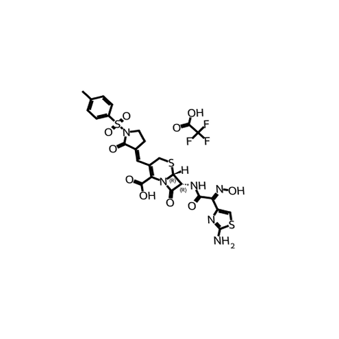 Cc1ccc(S(=O)(=O)N2CCC(=CC3=C(C(=O)O)N4C(=O)[C@@H](NC(=O)C(=NO)c5csc(N)n5)[C@H]4SC3)C2=O)cc1.O=C(O)C(F)(F)F